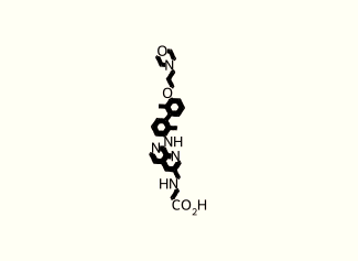 Cc1c(Nc2nccc3cc(CNCCC(=O)O)cnc23)cccc1-c1cccc(OCCCN2CCOCC2)c1C